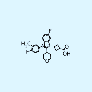 Cc1cc(-n2c(C3CCOCC3)c([C@H]3C[C@H](C(=O)O)C3)c3cc(F)ccc32)ccc1F